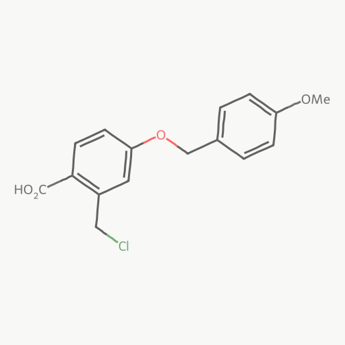 COc1ccc(COc2ccc(C(=O)O)c(CCl)c2)cc1